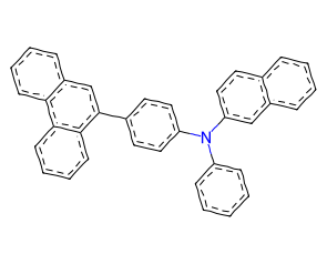 c1ccc(N(c2ccc(-c3cc4ccccc4c4ccccc34)cc2)c2ccc3ccccc3c2)cc1